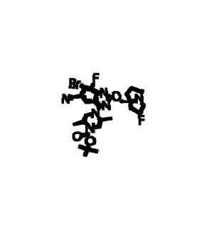 CC1CN(c2nc(OC[C@@]34CCCN3C[C@H](F)C4)nc3c(F)c(Br)c(C#N)cc23)C(C)CN1C(=O)OC(C)(C)C